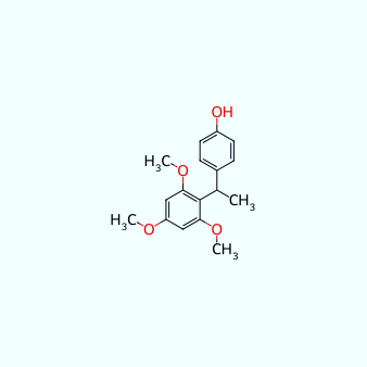 COc1cc(OC)c(C(C)c2ccc(O)cc2)c(OC)c1